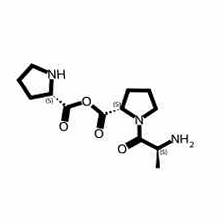 C[C@H](N)C(=O)N1CCC[C@H]1C(=O)OC(=O)[C@@H]1CCCN1